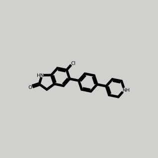 O=C1Cc2cc(-c3ccc(C4=CCNC=C4)cc3)c(Cl)cc2N1